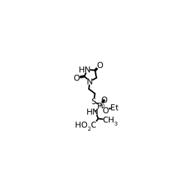 CCO[P@](=O)(NC(C)C(=O)O)SCCN1CC(=O)NC1=O